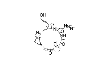 C[C@@H]1NC(=O)[C@H](CCN=[N+]=[N-])NC(=O)C(C)(CC#CCO)/C=C/c2cc3cc(ccc3cn2)[C@@H](C)OC(=O)[C@@H]2CCCN(N2)C1=O